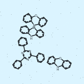 c1ccc(-c2nc(-c3ccccc3)nc(-c3ccccc3)n2)cc1.c1ccc2c(c1)Nc1ccccc1O2.c1ccc2c(c1)Nc1ccccc1O2.c1ccc2c(c1)Nc1ccccc1O2